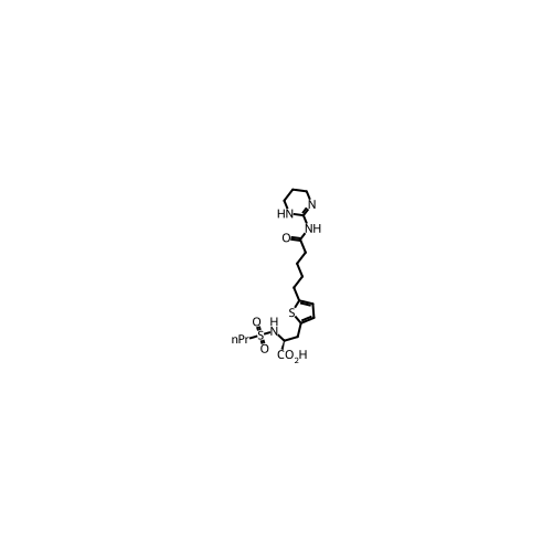 CCCS(=O)(=O)N[C@@H](Cc1ccc(CCCCC(=O)NC2=NCCCN2)s1)C(=O)O